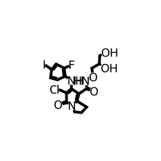 O=C(NOC[C@H](O)CO)c1c(Nc2ccc(I)cc2F)c(Cl)c(=O)n2c1CCC2